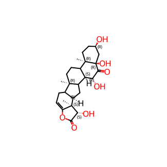 C[C@]12CCC3[C@H](C1C[C@@H]1C2CC=C2OC(=O)[C@@H](O)[C@@]21C)[C@@H](O)C(=O)[C@@]1(O)C[C@H](O)CC[C@]31C